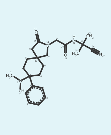 CN(C)C1(c2ccccc2)CCC2(CC1)CC(=O)N(CC(=O)NC(C)(C)C#N)C2